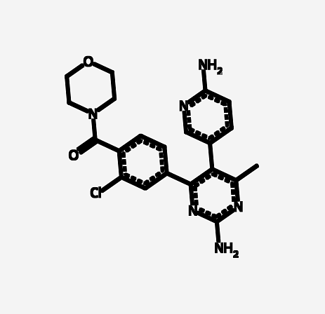 Cc1nc(N)nc(-c2ccc(C(=O)N3CCOCC3)c(Cl)c2)c1-c1ccc(N)nc1